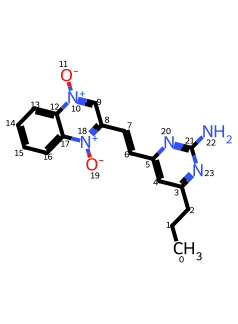 CCCc1cc(C=Cc2c[n+]([O-])c3ccccc3[n+]2[O-])nc(N)n1